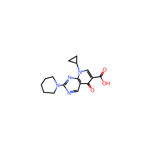 O=C(O)c1cn(C2CC2)c2nc(N3CCCCC3)ncc2c1=O